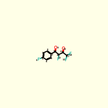 O=C(c1ccc(F)cc1)C(F)C(=O)C(F)F